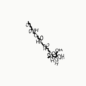 CC(=O)CCCC(=O)NCCOCCC(=O)NCCCNC(=O)CCCCOC1OC(CO)C(O)C(O)C1NC(C)=O